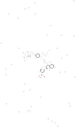 CC[C@@]1(O)C(=O)OCc2c1cc1n(c2=O)Cc2c-1nc1cc(F)c(C)c3c1c2[C@@H](NC(=O)OC(CN)c1ccc(NC(=O)[C@H](C)NC(=O)[C@@H](NC(C)=O)C(C)C)cc1)CC3